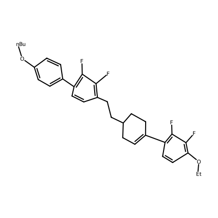 CCCCOc1ccc(-c2ccc(CCC3CC=C(c4ccc(OCC)c(F)c4F)CC3)c(F)c2F)cc1